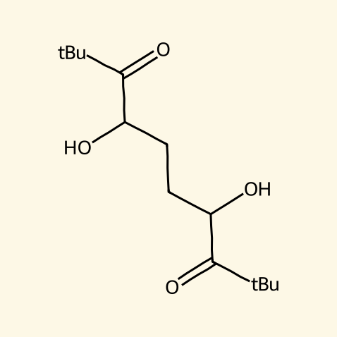 CC(C)(C)C(=O)C(O)CCC(O)C(=O)C(C)(C)C